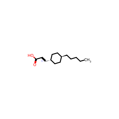 CCCCC[C@H]1CC[C@H](/C=C/C(=O)O)CC1